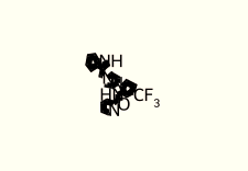 O=C(Nc1cc(C(F)(F)F)ccc1N1CCN(Cc2c[nH]c3ccccc23)CC1)c1ccccn1